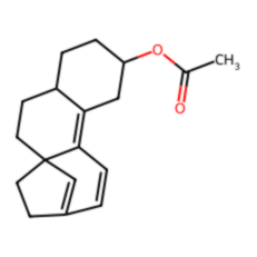 CC(=O)OC1CCC2CCC34C=C(C=CC3=C2C1)CC4